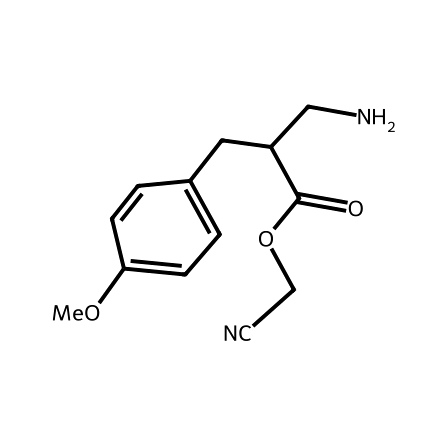 COc1ccc(CC(CN)C(=O)OCC#N)cc1